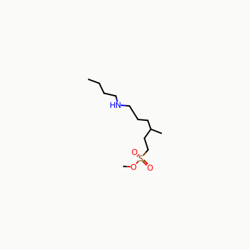 CCCCNCCCC(C)CCS(=O)(=O)OC